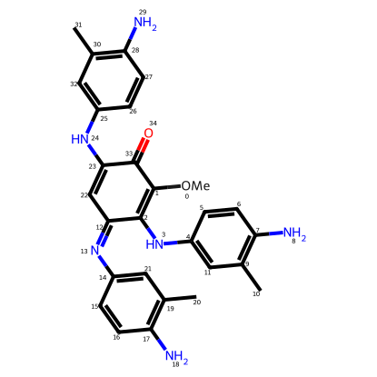 COC1=C(Nc2ccc(N)c(C)c2)/C(=N\c2ccc(N)c(C)c2)C=C(Nc2ccc(N)c(C)c2)C1=O